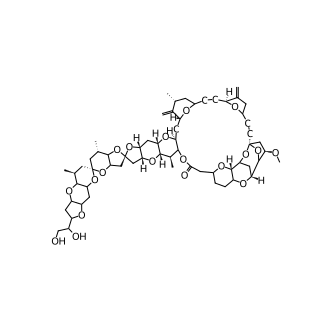 C=C1CC2CC[C@]34C[C@@H](OC)C(O3)[C@H]3CC(O4)[C@H]4OC(CCC4O3)CC(=O)OC3[C@H](C[C@H]4OC(CC[C@@H]1O2)C[C@@H](C)C4=C)O[C@H]1C[C@H]2O[C@]4(CC5O[C@]6(C[C@H](C)C7OC8CC(C(O)CO)OC8CC7O6)C[C@H](C)C5O4)C[C@H]2O[C@H]1[C@@H]3C